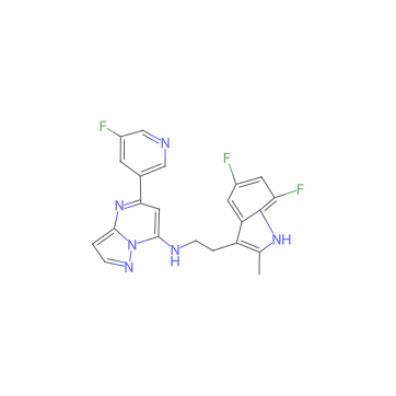 Cc1[nH]c2c(F)cc(F)cc2c1CCNc1cc(-c2cncc(F)c2)nc2ccnn12